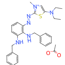 CC(=O)[O-].CCN(CC)c1c[n+](C)c(N=Nc2cccc(NCc3ccccc3)c2NCc2ccccc2)s1